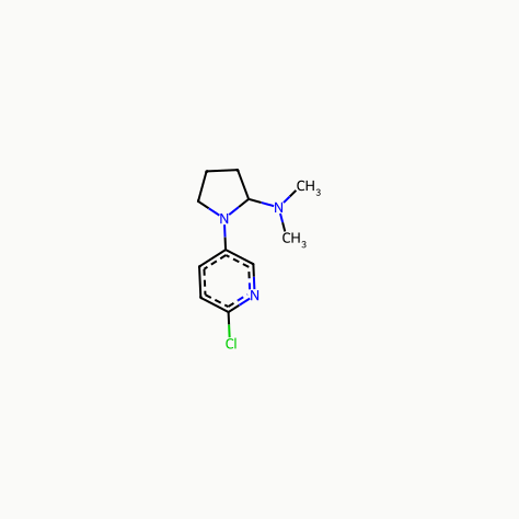 CN(C)C1CCCN1c1ccc(Cl)nc1